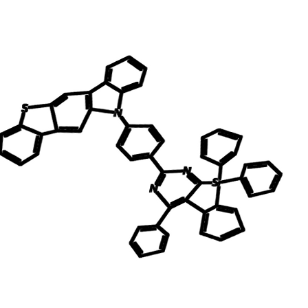 c1ccc(-c2nc(-c3ccc(-n4c5ccccc5c5cc6sc7ccccc7c6cc54)cc3)nc3c2-c2ccccc2[Si]3(c2ccccc2)c2ccccc2)cc1